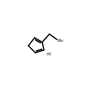 CC(C)(C)CC1=C[CH]C=C1.[Hf]